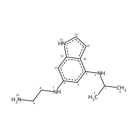 CC(C)Nc1cc(NCCN)cc2[nH]ccc12